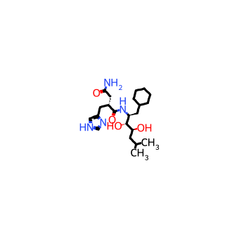 CC(C)C[C@H](O)[C@H](O)[C@H](CC1CCCCC1)NC(=O)[C@@H](CC(N)=O)Cc1c[nH]cn1